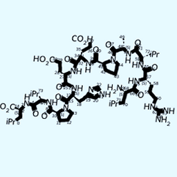 CC(C)C[C@H](NC(=O)[C@@H](NC(=O)[C@@H]1CCCN1C(=O)[C@H](Cc1c[nH]cn1)NC(=O)[C@H](CCC(=O)O)NC(=O)[C@H](CCC(=O)O)NC(=O)[C@@H]1CCCN1C(=O)[C@H](C)NC(=O)[C@@H](NC(=O)[C@H](CCCNC(=N)N)NC(=O)[C@@H](N)CC(C)C)C(C)C)C(C)C)C(=O)O